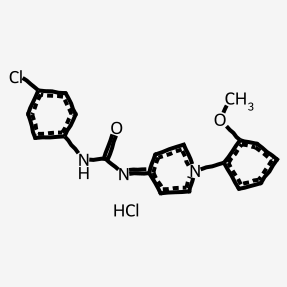 COc1ccccc1-n1ccc(=NC(=O)Nc2ccc(Cl)cc2)cc1.Cl